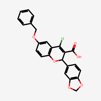 O=C(O)C1=C(Cl)c2cc(OCc3ccccc3)ccc2OC1c1ccc2c(c1)OCO2